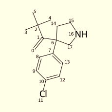 C=C(C(C)(C)C)C1(c2ccc(Cl)cc2)CCNC1